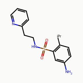 CC(C)c1ccc(N)cc1S(=O)(=O)NCCc1ccccn1